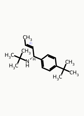 C/C=C/[C@@H](NC(C)(C)C)c1ccc(C(C)(C)C)cc1